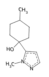 CC1CCC(O)(c2ccnn2C)CC1